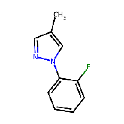 Cc1cnn(-c2ccccc2F)c1